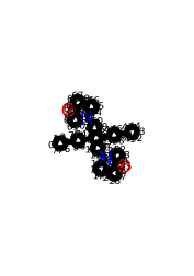 c1ccc(-c2ccc(-c3c4ccc(N(c5ccccc5)c5cccc6oc7ccccc7c56)cc4c(-c4ccc(-c5ccccc5)cc4)c4ccc(N(c5ccccc5)c5cccc6oc7ccccc7c56)cc34)cc2)cc1